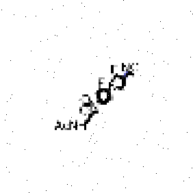 CC(=O)NCC1CN(c2ccc(N3CC/C(=C(\C)C#N)C(F)C3)c(F)c2)C(=O)O1